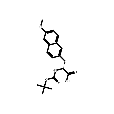 COc1ccc2cc(C[C@@H](NC(=O)OC(C)(C)C)C(=O)O)ccc2c1